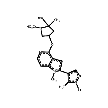 CCn1ncc(-c2nc3c(OC4CN(C(=O)O)C(C)(C(C)(C)C)C4)ncnc3n2C)c1C